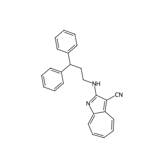 N#Cc1c2cccccc-2nc1NCCC(c1ccccc1)c1ccccc1